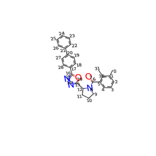 Cc1cccc(C(=O)N2CCCC2c2nnc(-c3ccc(-c4ccccc4)cc3)o2)c1C